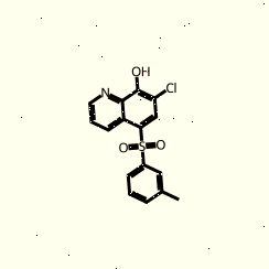 Cc1cccc(S(=O)(=O)c2cc(Cl)c(O)c3ncccc23)c1